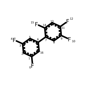 Fc1[c]c(F)cc(-c2cc(F)c(F)cc2F)c1